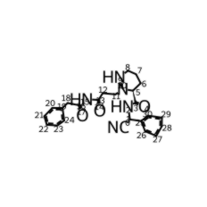 N#CC(NC(=O)[C@@H]1CCCNN1CCC(=O)NC(=O)Cc1ccccc1)c1ccccc1